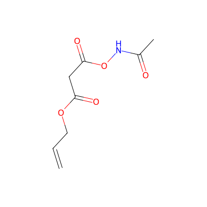 C=CCOC(=O)CC(=O)ONC(C)=O